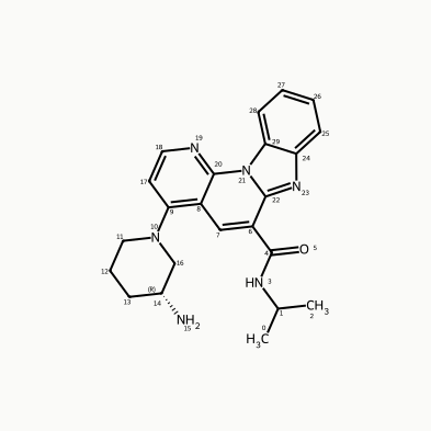 CC(C)NC(=O)c1cc2c(N3CCC[C@@H](N)C3)ccnc2n2c1nc1ccccc12